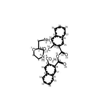 NCC1CNCCO1.O=C(O)c1cc2ccccc2cc1C(=O)OC(=O)c1cc2ccccc2cc1C(=O)O